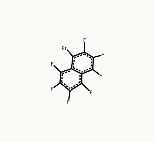 CCc1c(F)c(F)c(F)c2c(F)c(F)c(F)c(F)c12